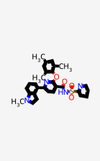 Cc1cc(C)c(Oc2nc(-c3cccc4c3ccn4C)ccc2C(=O)NS(=O)(=O)c2ccccn2)c(C)c1